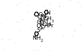 CC(C)CC[C@H](CSc1ccc(N)cc1)C(=O)N(O)C(=O)N[C@@H](Cc1ccccc1)C(=O)N(C)c1cccnc1